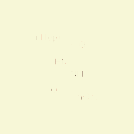 CCCCCCCCC(=O)NNC(=O)CCCCCCC